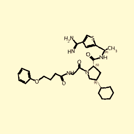 C[C@@H](NC(=O)[C@@H]1C[C@H](C2CCCCC2)CN1C(=O)CNC(=O)CCCOc1ccccc1)c1cc(C(=N)N)cs1